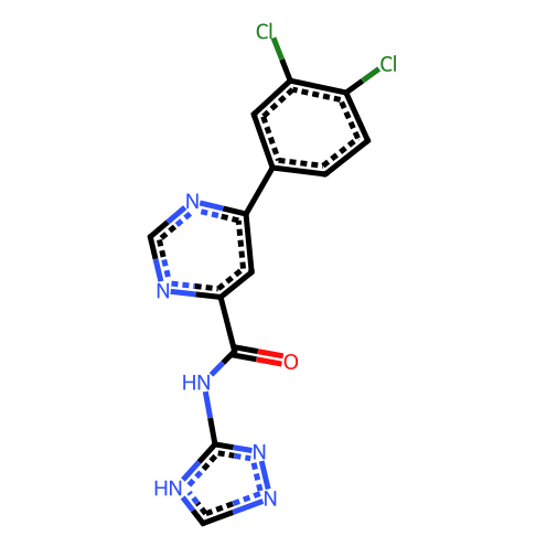 O=C(Nc1nnc[nH]1)c1cc(-c2ccc(Cl)c(Cl)c2)ncn1